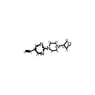 C#Cc1cnc(N2CCN(C3COC3)CC2)nc1